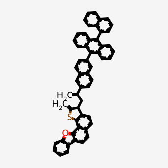 C=C(CC1C(=C)Sc2c1ccc1ccc3c4ccccc4oc3c21)c1ccc2cc(-c3c4ccccc4c(-c4cccc5ccccc45)c4ccccc34)ccc2c1